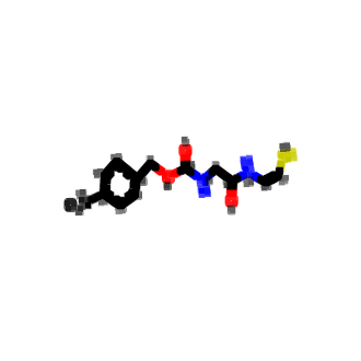 O=C(CNC(=O)OCc1ccc([N+](=O)[O-])cc1)N/C=C\S